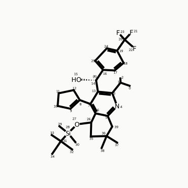 CC(C)c1nc2c(c(C3=CCCC3)c1[C@H](O)c1ccc(C(F)(F)F)cc1)C(O[Si](C)(C)C(C)(C)C)CC(C)(C)C2